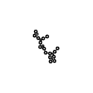 c1ccc(-c2ccc(N(c3ccc(-c4cccc5c4oc4ccccc45)cc3)c3ccc(-c4cccc5c4oc4ccc(-c6cccc(-c7ccc(N(c8ccc(-c9ccccc9)cc8)c8ccc9c(c8)C8(c%10ccccc%10-c%10ccccc%108)c8ccccc8-9)cc7)c6)cc45)cc3)cc2)cc1